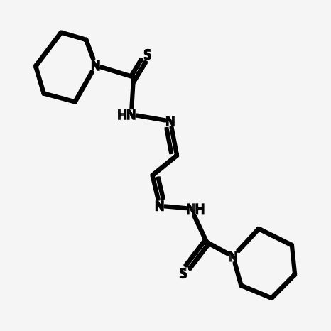 S=C(N/N=C\C=N/NC(=S)N1CCCCC1)N1CCCCC1